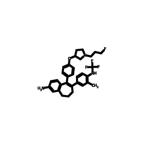 Cc1cc(C2=C(c3ccc(OC4CCN(CCCF)C4)cc3)c3ccc(N)cc3CCC2)ccc1NC(F)(F)F